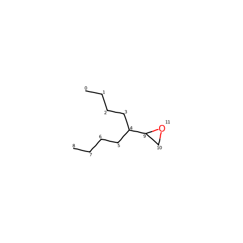 CCCCC(CCCC)C1CO1